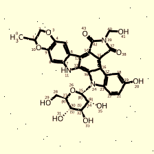 CC1COc2cc3c(cc2O1)[nH]c1c3c2c(c3c4cc(O)ccc4n([C@@H]4O[C@H](CO)[C@@H](O)[C@H](O)[C@H]4O)c13)C(=O)N(CO)C2=O